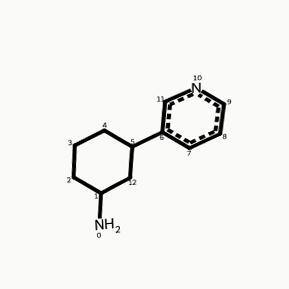 NC1CCCC(c2cccnc2)C1